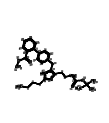 CCCCc1nc(CCNC(=O)OC(C)(C)C)c(Cc2ccc(-c3ccccc3C(=O)OC)cc2)[nH]1